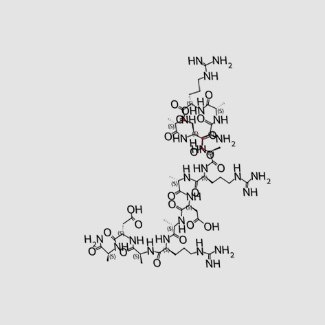 C[C@H](NC(=O)[C@H](CC(=O)O)NC(=O)[C@H](C)NC(=O)[C@H](CCCNC(=N)N)NC(=O)[C@H](C)NC(=O)[C@H](CC(=O)O)NC(=O)[C@H](C)NC(=O)[C@H](CCCNC(=N)N)NC(=O)[C@H](C)NC(=O)[C@H](CC(=O)O)NC(=O)[C@H](C)NC(=O)[C@H](CCCNC(=N)N)NC(=O)[C@H](C)NC(=O)[C@@H](N)CC(=O)O)C(N)=O